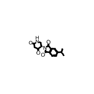 CC(C)c1ccc2c(c1)C(=O)N([C@H]1CNC(=O)CC1=O)C2=O